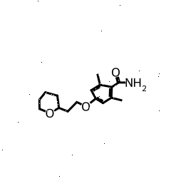 Cc1cc(OCCC2CCCCO2)cc(C)c1C(N)=O